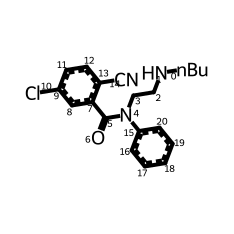 CCCCNCCN(C(=O)c1cc(Cl)ccc1C#N)c1ccccc1